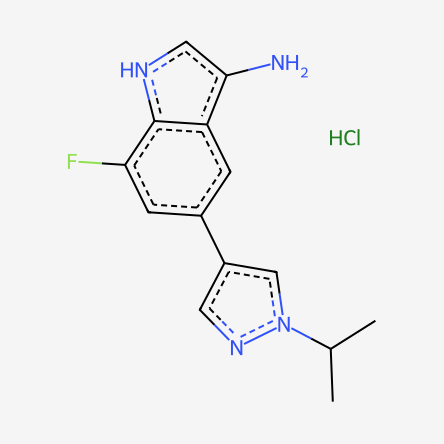 CC(C)n1cc(-c2cc(F)c3[nH]cc(N)c3c2)cn1.Cl